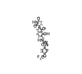 O=C1CCC(N2Cc3ccc(CNc4nnc(-c5ccc(OC(F)(F)F)cc5)o4)c(O)c3C2=O)C(=O)N1